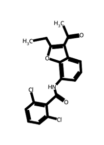 CCc1oc2c(NC(=O)c3c(Cl)cccc3Cl)cccc2c1C(C)=O